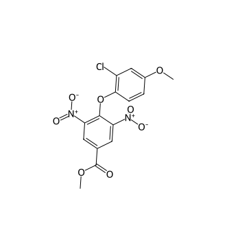 COC(=O)c1cc([N+](=O)[O-])c(Oc2ccc(OC)cc2Cl)c([N+](=O)[O-])c1